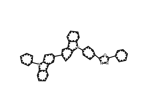 c1ccc(-c2nnc(-c3ccc(-n4c5ccccc5c5cc(-c6ccc7c(c6)c6ccccc6n7-c6ccccc6)ccc54)cc3)o2)cc1